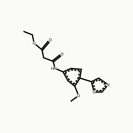 CCOC(=O)CC(=O)Nc1ccc(-c2cnco2)c(OC)c1